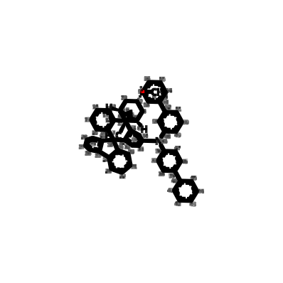 CC[C@@H]1C[C@H]2C[C@H](C)C[C@@H](C1)C21c2ccccc2C2(c3ccccc3-c3ccccc32)c2ccc(N(c3ccc(-c4ccccc4)cc3)c3cccc(-c4ccccc4)c3)cc21